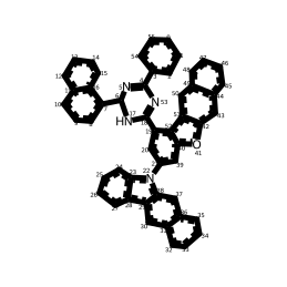 c1ccc(C2=NC(c3cccc4ccccc34)NC(c3cc(-n4c5ccccc5c5cc6ccccc6cc54)cc4oc5cc6ccccc6cc5c34)=N2)cc1